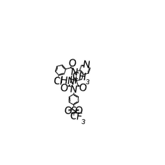 CC1(Cc2ccncc2NC(=O)c2cccc(Cl)c2)NC(=O)N(c2ccc(S(=O)(=O)C(F)(F)F)cc2)C1=O